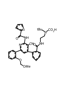 COCOc1ccccc1-c1cc(-c2ccccc2C(=O)NCCN(C(=O)O)C(C)(C)C)c(C#N)c(NC(=O)c2cccs2)n1